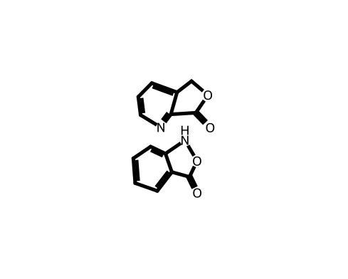 O=C1OCc2cccnc21.O=c1o[nH]c2ccccc12